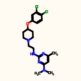 Cc1cc(N(C)C)nc(NCCN2CCC(Oc3ccc(Cl)c(Cl)c3)CC2)n1